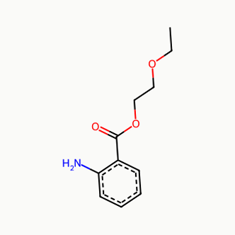 CCOCCOC(=O)c1ccccc1N